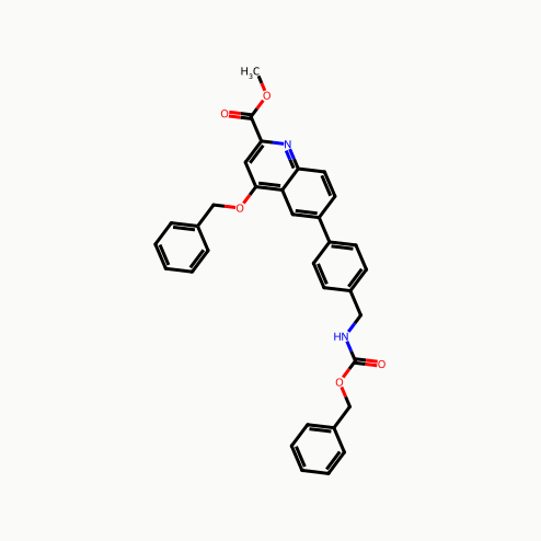 COC(=O)c1cc(OCc2ccccc2)c2cc(-c3ccc(CNC(=O)OCc4ccccc4)cc3)ccc2n1